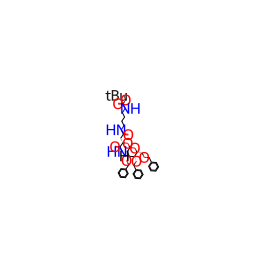 CC(C)(C)OC(=O)NCCCCNC(=O)C[C@@H]1OC2O[C@H](COCc3ccccc3)[C@H](OCc3ccccc3)[C@H](OCc3ccccc3)[C@H]2NC1=O